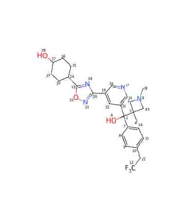 CN1CC(C)(C(O)(c2ccc(CC(F)(F)F)cc2)c2cncc(-c3noc(C4CCC(O)CC4)n3)c2)C1